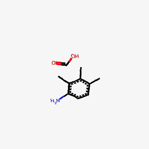 Cc1ccc(N)c(C)c1C.O=CO